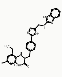 CCc1cc(F)cc(C)c1NC(Cc1ccc(-c2ncc(CNc3nc4ccccc4[nH]3)[nH]2)cc1)C(=O)O